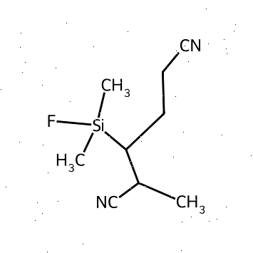 CC(C#N)C(CCC#N)[Si](C)(C)F